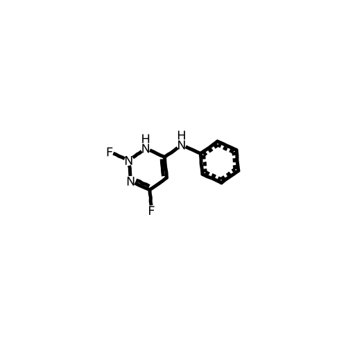 FC1=NN(F)NC(Nc2ccccc2)=C1